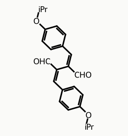 CC(C)Oc1ccc(/C=C(C=O)\C(C=O)=C/c2ccc(OC(C)C)cc2)cc1